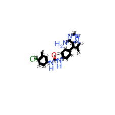 Cc1cc(NC(=O)Nc2ccc(-c3c(C)cn4ncnc(N)c34)cc2)ccc1Cl